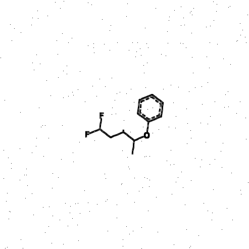 CC([CH]CC(F)F)Oc1ccccc1